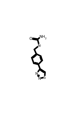 NC(=O)[N]Cc1ccc(-c2csnn2)cc1